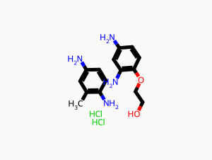 Cc1cc(N)ccc1N.Cl.Cl.Nc1ccc(OCCO)c(N)c1